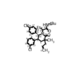 C=CCC1(C)CC(c2cccc(Cl)c2)[C@@H](c2ccc(Cl)cc2)N(C(CC)C(=O)NC(C)(C)C)C1=O